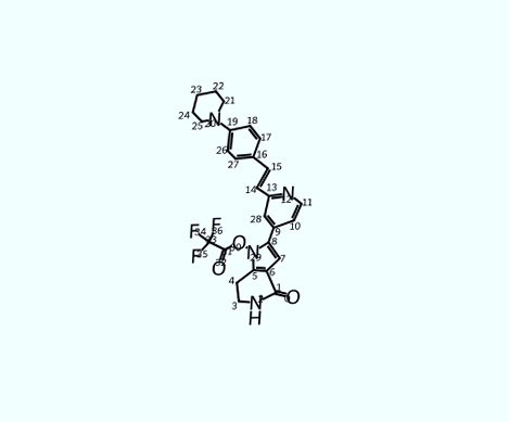 O=C1NCCc2c1cc(-c1ccnc(C=Cc3ccc(N4CCCCC4)cc3)c1)n2OC(=O)C(F)(F)F